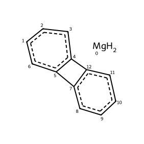 [MgH2].c1ccc2c(c1)-c1ccccc1-2